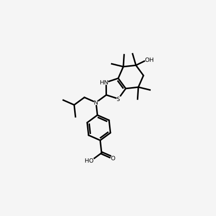 CC(C)CN(c1ccc(C(=O)O)cc1)C1NC2=C(S1)C(C)(C)CC(C)(O)C2(C)C